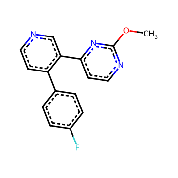 COc1nccc(-c2cnccc2-c2ccc(F)cc2)n1